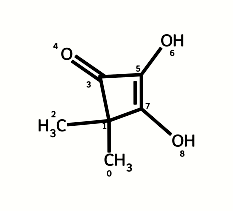 CC1(C)C(=O)C(O)=C1O